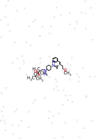 COCCC(=Cc1ccccc1)[C@@H]1C[C@H]1N[C@H]1CC[C@H](NCC(C)(C)C(=O)OC(C)(C)C)CC1